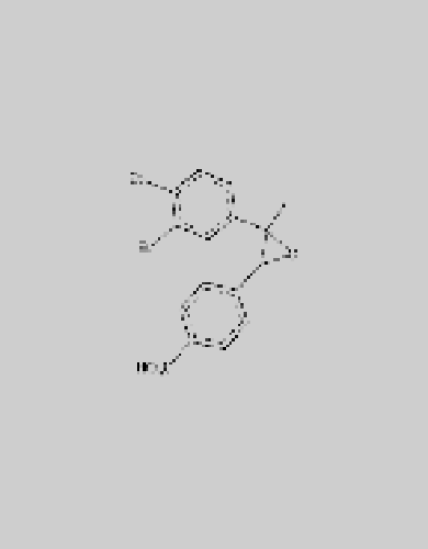 CCc1ccc(C2(C)OC2c2ccc(C(=O)O)cc2)cc1CC